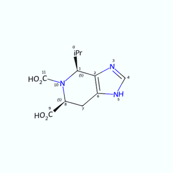 CC(C)[C@H]1c2nc[nH]c2C[C@@H](C(=O)O)N1C(=O)O